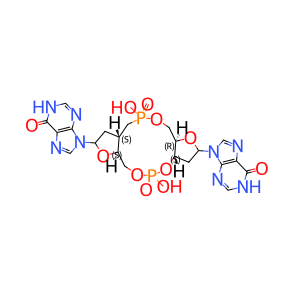 O=c1[nH]cnc2c1ncn2C1C[C@@H]2CP(=O)(O)OC[C@H]3OC(n4cnc5c(=O)[nH]cnc54)C[C@@H]3OP(=O)(O)OC[C@H]2O1